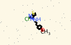 COc1ccc(CCCNc2nc(Cl)nc3sccc23)cc1